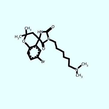 CN(C)CCCCCCN1C(=O)NC2(CC(C)(C)Oc3ccc(Br)cc32)C1=O